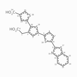 O=C(O)Cc1cc(-c2ccc(-c3nc4ccccc4s3)s2)sc1-c1cc(C(=O)O)cs1